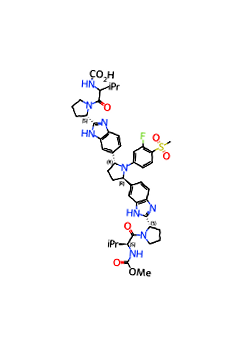 COC(=O)N[C@H](C(=O)N1CCC[C@H]1c1nc2ccc([C@H]3CC[C@H](c4ccc5nc([C@@H]6CCCN6C(=O)C(NC(=O)O)C(C)C)[nH]c5c4)N3c3ccc(S(C)(=O)=O)c(F)c3)cc2[nH]1)C(C)C